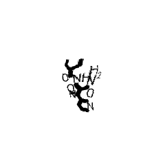 CCC(CC)C(=O)Nc1onc(-c2cccnc2)c1C(N)=O